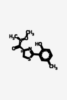 CON(C)C(=O)[C@@H]1CSC(c2cc(C)ccc2O)=N1